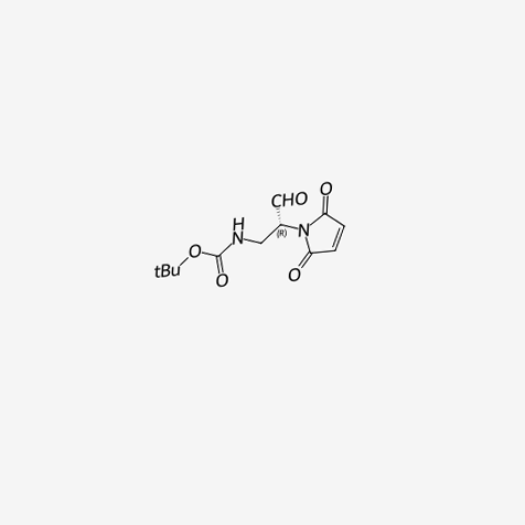 CC(C)(C)OC(=O)NC[C@H](C=O)N1C(=O)C=CC1=O